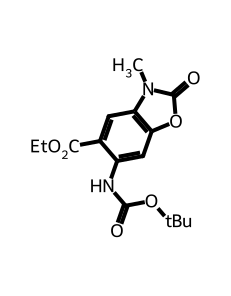 CCOC(=O)c1cc2c(cc1NC(=O)OC(C)(C)C)oc(=O)n2C